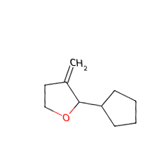 C=C1CCOC1C1CCCC1